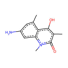 Cc1c(O)c2c(C)cc(N)cc2n(C)c1=O